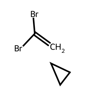 C1CC1.C=C(Br)Br